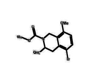 COc1ccc(Br)c2c1CN(C(=O)OC(C)(C)C)C(C=O)C2